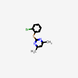 Cc1cc(C)nc(Sc2ccccc2Br)n1